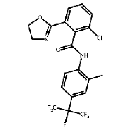 Cc1cc(C(F)(C(F)(F)F)C(F)(F)F)ccc1NC(=O)c1c(Cl)cccc1C1=NCCO1